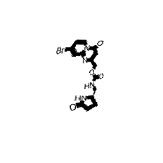 O=C1CC[C@@H](CNC(=O)OCc2cc(=O)n3ccc(Br)cc3n2)N1